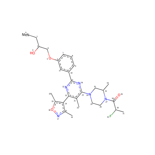 CNCC(O)COc1cccc(-c2nc(-c3c(C)noc3C)c(C)c(N3CCN(C(=O)C(C)F)C(C)C3)n2)c1